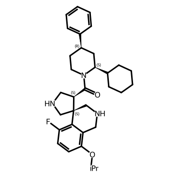 CC(C)Oc1ccc(F)c2c1CNC[C@]21CNC[C@H]1C(=O)N1CC[C@@H](c2ccccc2)C[C@H]1C1CCCCC1